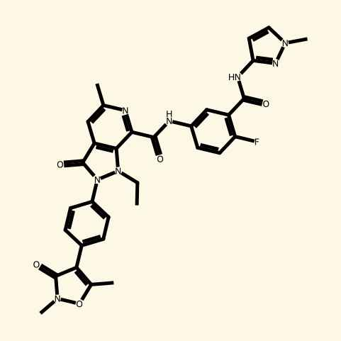 CCn1c2c(C(=O)Nc3ccc(F)c(C(=O)Nc4ccn(C)n4)c3)nc(C)cc2c(=O)n1-c1ccc(-c2c(C)on(C)c2=O)cc1